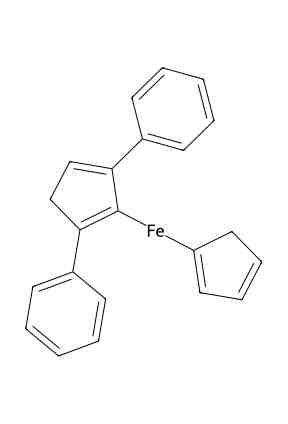 C1=CC[C]([Fe][C]2=C(c3ccccc3)CC=C2c2ccccc2)=C1